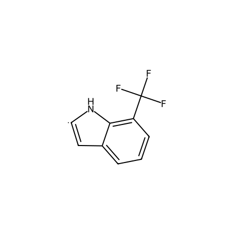 FC(F)(F)c1cccc2c[c][nH]c12